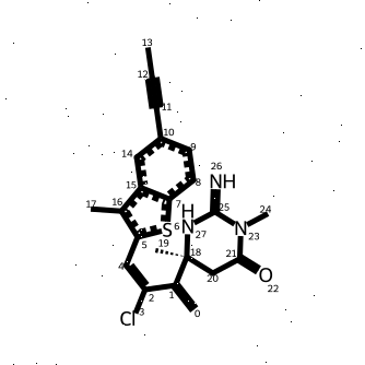 C=C(/C(Cl)=C\c1sc2ccc(C#CC)cc2c1C)[C@]1(C)CC(=O)N(C)C(=N)N1